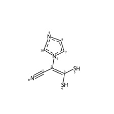 N#CC(=C(S)S)n1ccnc1